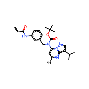 [2H]c1cc(N(Cc2cccc(NC(=O)C=C)c2)C(=O)OC(C)(C)C)n2ncc(C(C)C)c2n1